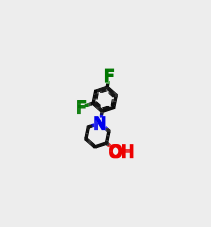 OC1CCCN(c2ccc(F)cc2F)C1